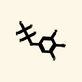 Fc1cc(OC(F)(F)C(F)(F)F)cc(F)c1Br